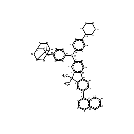 CC1(C)c2cc(-c3cccc4ccccc34)ccc2-c2ccc(N(c3ccc(C4CCCCC4)cc3)c3ccc(C45CC6CC(CC(C6)C4)C5)cc3)cc21